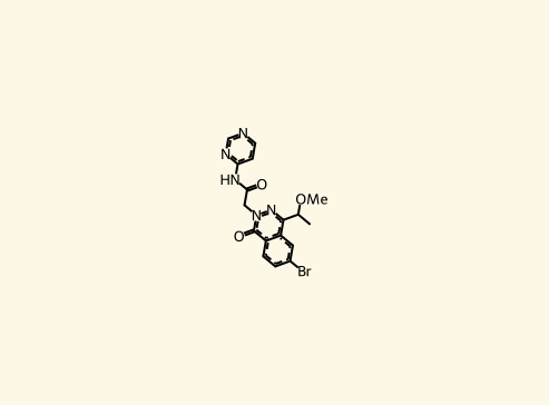 COC(C)c1nn(CC(=O)Nc2ccncn2)c(=O)c2ccc(Br)cc12